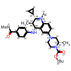 CNC(=O)c1ccc(N[C@H]2c3cc(N4CCN(C(=O)OC(C)(C)C)[C@@H](C)C4)ccc3N(C(C)=O)[C@@H](C3CC3)[C@@H]2C)cc1